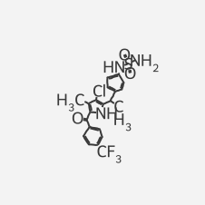 Cc1c(C(=O)c2ccc(C(F)(F)F)cc2)[nH]c(C(C)c2ccc(NS(N)(=O)=O)cc2)c1Cl